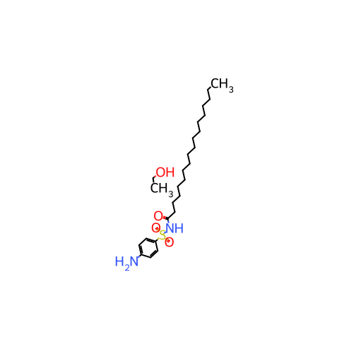 CCCCCCCCCCCCCCCCCC(=O)NS(=O)(=O)c1ccc(N)cc1.CCO